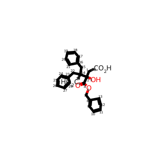 O=C(O)CC(O)(C(=O)OCc1ccccc1)C(Cc1ccccc1)(Cc1ccccc1)C(=O)O